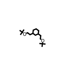 CC(C)(C)OCCC1CCCC(CCOC(C)(C)C)C1